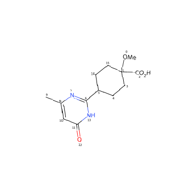 COC1(C(=O)O)CCC(c2nc(C)cc(=O)[nH]2)CC1